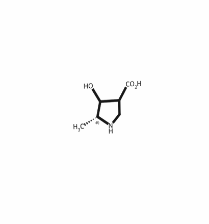 C[C@H]1NCC(C(=O)O)C1O